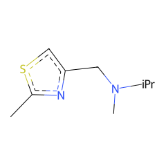 Cc1nc(CN(C)C(C)C)cs1